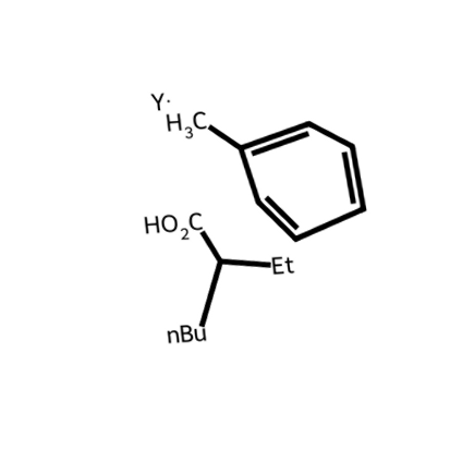 CCCCC(CC)C(=O)O.Cc1ccccc1.[Y]